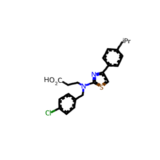 CC(C)c1ccc(-c2csc(N(CCC(=O)O)Cc3ccc(Cl)cc3)n2)cc1